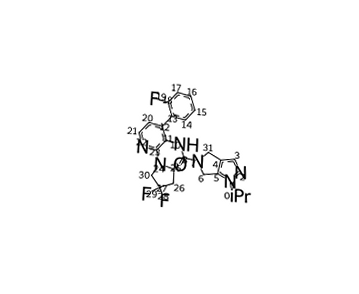 CC(C)n1ncc2c1CN(C(=O)Nc1c(-c3ccccc3F)ccnc1N1CCC(F)(F)C1)C2